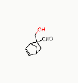 O=CC1(CO)CC2C=CC1C2